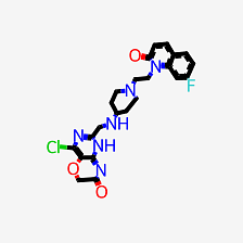 O=C1COC2=C(Cl)N=C(CNC3CCN(CCn4c(=O)ccc5ccc(F)cc54)CC3)NC2=N1